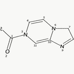 CCC(=O)N1C=CN2CC=NC2=C1